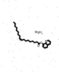 CCCCCCCC/C=C\CCCCCCCC(=O)Oc1cccc2cccnc12.[MgH2]